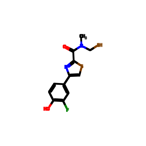 CN(CS)C(=O)c1nc(-c2ccc(O)c(F)c2)cs1